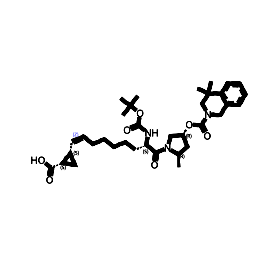 C[C@@H]1C[C@@H](OC(=O)N2Cc3ccccc3C(C)(C)C2)CN1C(=O)[C@H](CCCCC/C=C\[C@@H]1C[C@@H]1C(=O)O)NC(=O)OC(C)(C)C